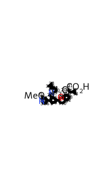 COc1cc(-c2ccc(C3CCc4ccc([C@H](C5CC5)[C@H](C)C(=O)O)cc4O3)cc2CN2CCCC3(CC3)C2)ccn1